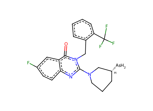 O=c1c2cc(F)ccc2nc(N2CCC[C@@H]([AsH2])C2)n1Cc1ccccc1C(F)(F)F